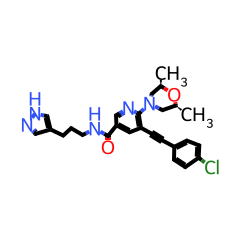 C[C@@H]1CN(c2ncc(C(=O)NCCCc3cn[nH]c3)cc2C#Cc2ccc(Cl)cc2)C[C@H](C)O1